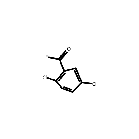 O=C(F)c1cc(Cl)ccc1Cl